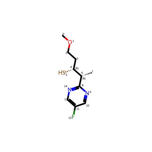 COCC[C@@H](S)[C@H](C)c1ncc(F)cn1